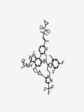 C/C(=C\C(C)(C)S(=O)(=O)C1CC1)c1ccc(-c2ccc(Cl)c3c(N[S+](C)[O-])nn(C)c23)c([C@H](Cc2cc(F)cc(F)c2)NC(=O)CCn2nc(C(F)(F)F)cc2C2CC2)n1